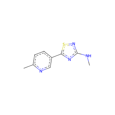 CNc1nsc(-c2ccc(C)nc2)n1